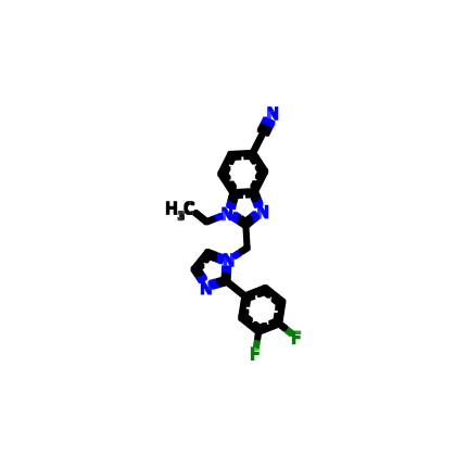 CCn1c(Cn2ccnc2-c2ccc(F)c(F)c2)nc2cc(C#N)ccc21